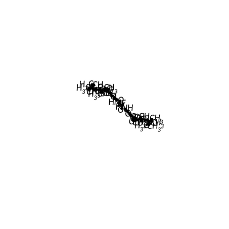 CC(C)N(CCOC(=O)C(C)(Br)CC(C)(C)C(=O)OCCOCCNC(=O)C(F)C(F)C(=O)NCCOCCOC(=O)C(C)(C)CC(C)(Br)C(=O)OCCN(C(C)C)C(C)C)C(C)C